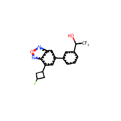 OC(c1cccc(-c2cc(C3CC(F)C3)c3nonc3c2)c1)C(F)(F)F